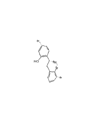 N[C@H](Cc1cccc(Br)c1Br)c1ccc(Br)cc1O